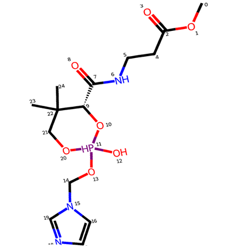 COC(=O)CCNC(=O)[C@@H]1O[PH](O)(OCn2ccnc2)OCC1(C)C